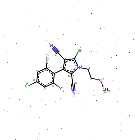 COCCn1c(Br)c(C#N)c(-c2c(Cl)cc(Cl)cc2Cl)c1C#N